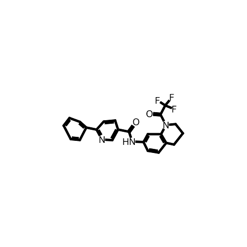 O=C(Nc1ccc2c(c1)N(C(=O)C(F)(F)F)CCC2)c1ccc(-c2ccccc2)nc1